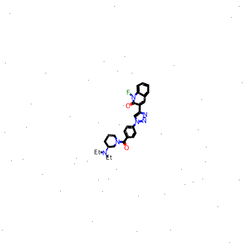 CCN(CC)[C@H]1CCCN(C(=O)c2ccc(-n3cc(-c4cc5ccccc5n(F)c4=O)nn3)cc2)C1